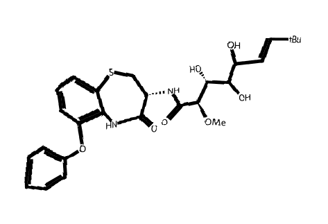 CO[C@@H](C(=O)N[C@H]1CSc2cccc(Oc3ccccc3)c2NC1=O)[C@H](O)C(O)C(O)/C=C/C(C)(C)C